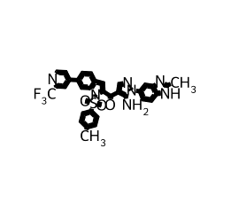 Cc1ccc(S(=O)(=O)n2c(C(=O)c3cnn(-c4ccc5[nH]c(C)nc5c4)c3N)cc3ccc(-c4ccnc(C(F)(F)F)c4)cc32)cc1